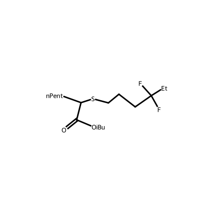 CCCCCC(SCCCC(F)(F)CC)C(=O)OCC(C)C